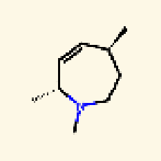 C[C@@H]1C=C[C@@H](C)N(C)CC1